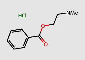 CNCCOC(=O)c1ccccc1.Cl